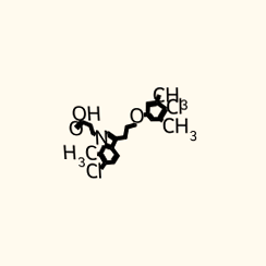 Cc1cc(OCCCc2cn(CCC(=O)O)c3c(C)c(Cl)ccc23)cc(C)c1Cl